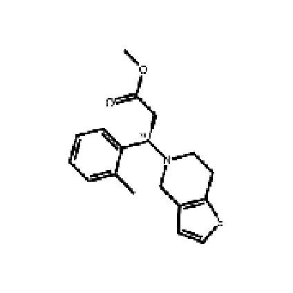 COC(=O)C[C@H](c1ccccc1C)N1CCc2sccc2C1